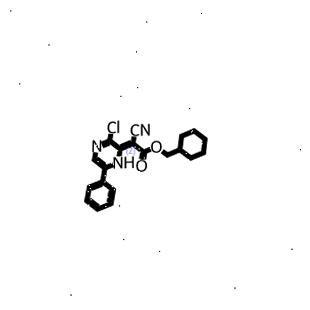 N#C/C(C(=O)OCC1CCCCC1)=C1/NC(c2ccccc2)=CN=C1Cl